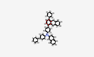 c1ccc(-c2ccc(N(c3ccc(-c4ccc(-c5ccccc5)c5c4C4c6ccccc6C5c5ccccc54)cc3)c3ccc4ccccc4c3)cc2)cc1